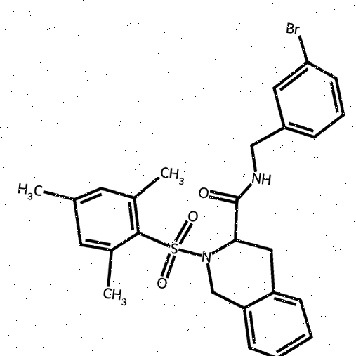 Cc1cc(C)c(S(=O)(=O)N2Cc3ccccc3CC2C(=O)NCc2cccc(Br)c2)c(C)c1